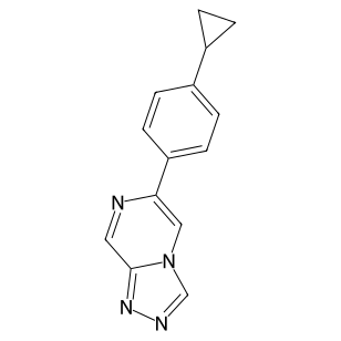 c1cc(C2CC2)ccc1-c1cn2cnnc2cn1